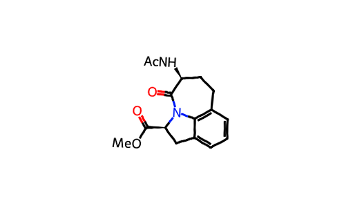 COC(=O)[C@@H]1Cc2cccc3c2N1C(=O)[C@@H](NC(C)=O)CC3